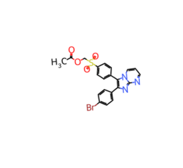 CC(=O)OCS(=O)(=O)c1ccc(-c2c(-c3ccc(Br)cc3)nc3ncccn23)cc1